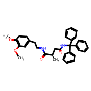 COc1ccc(CCNC(=O)[C@H](C)CC(=O)NC(c2ccccc2)(c2ccccc2)c2ccccc2)cc1OC